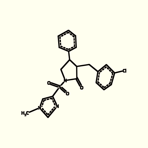 Cn1cnc(S(=O)(=O)N2CC(c3ccccc3)C(Cc3cccc(Cl)c3)C2=O)c1